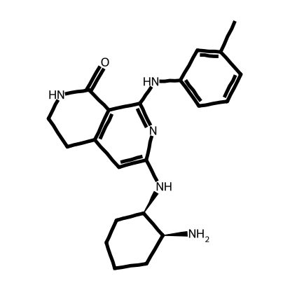 Cc1cccc(Nc2nc(N[C@@H]3CCCC[C@@H]3N)cc3c2C(=O)NCC3)c1